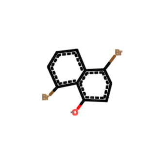 [O]c1ccc(Br)c2cccc(Br)c12